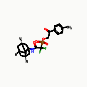 Cc1ccc(C(=O)COS(=O)(=O)C(F)(F)C(=O)NC23C[C@H]4C[C@@H](C2)C[C@@H](C3)C4)cc1